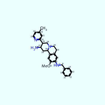 COc1cc2c(cc1NCc1ccccc1)CCN1CC(c3cc(C)ccn3)C(N)CC21